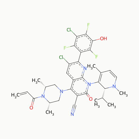 C=CC(=O)N1[C@H](C)CN(c2c(C#N)c(=O)n(C3=C(C)C=CN(C)[C@@H]3C(C)C)c3nc(-c4c(F)c(O)c(F)c(Cl)c4F)c(Cl)cc23)C[C@@H]1C